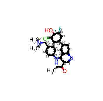 CCC(=O)c1cnc2ccc(-c3cc(F)c(O)c(Cl)c3)cc2c1Nc1ccc(CN(C)C)cc1